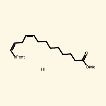 CCCCC/C=C\C/C=C\CCCCCCCC(=O)OC.I